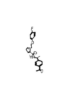 CC(=O)c1ccc([C@H](C)NC(=O)[C@H]2CCCN2CCOc2ccc(F)cc2)cc1